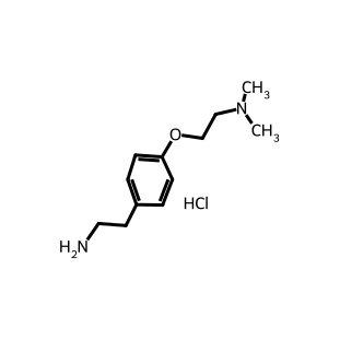 CN(C)CCOc1ccc(CCN)cc1.Cl